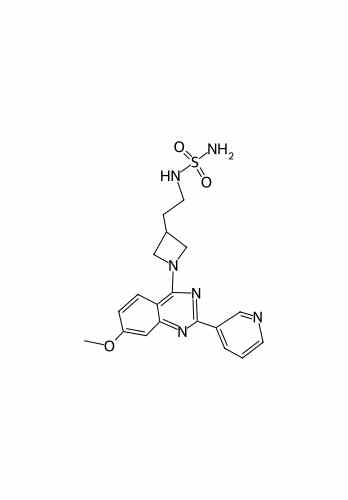 COc1ccc2c(N3CC(CCNS(N)(=O)=O)C3)nc(-c3cccnc3)nc2c1